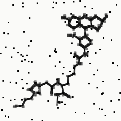 CC(C)NC(=O)C(CCCCNC(=S)Nc1ccc(-c2c3ccc(=O)cc-3oc3cc(O)ccc23)c(C(=O)O)c1)NC(=O)Cn1cc(CCCF)nn1